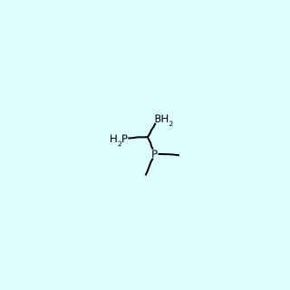 BC(P)P(C)C